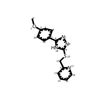 COc1ccc(-c2nnc(SCc3ccccn3)[nH]2)cc1